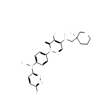 CCN(c1ccc(-n2ncc(NC[C@@]3(F)CCCOC3)c(Cl)c2=O)cc1)c1ccc(F)nn1